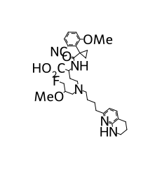 COc1cccc(C#N)c1C1(C(=O)NC(CCN(CCCCc2ccc3c(n2)NCCC3)CC(CF)OC)C(=O)O)CC1